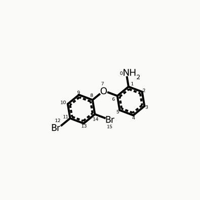 Nc1ccccc1Oc1ccc(Br)cc1Br